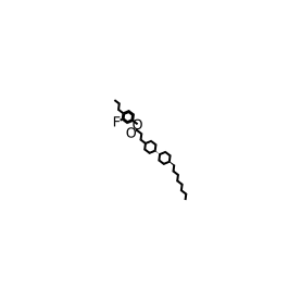 CCCCCCCC[C@H]1CC[C@H](C2CCC(CCC(=O)Oc3ccc(CCC)c(F)c3)CC2)CC1